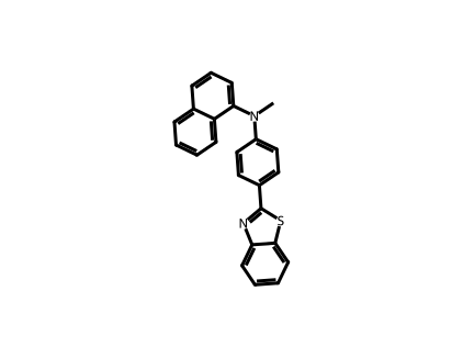 CN(c1ccc(-c2nc3ccccc3s2)cc1)c1cccc2ccccc12